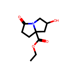 CCOC(=O)C12CCC(=O)N1CC(O)C2